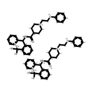 O=C(NC(c1ccccn1)c1ccccc1C(F)(F)F)C1CCN(CCOc2ccccc2)CC1.O=C(NC(c1ccccn1)c1ccccc1C(F)(F)F)C1CCN(CCOc2ccccc2)CC1